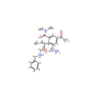 CCCN(CCC)C(=O)c1cc(C(N)=O)cc(C(N)=O)c1[C@H](CC(C)C)[C@@H](O)CNCc1ccccc1